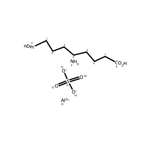 CCCCCCCCCCCCCCCCCC(=O)O.N.O=S(=O)([O-])[O-].[Al+2]